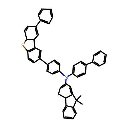 CC1(C)C2=CC(N(c3ccc(-c4ccccc4)cc3)c3ccc(-c4ccc5c(c4)C4C=C(c6ccccc6)C=CC4S5)cc3)=CCC2c2ccccc21